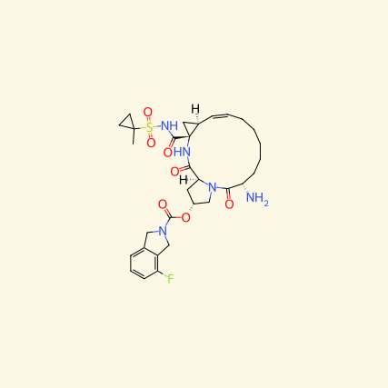 CC1(S(=O)(=O)NC(=O)[C@@]23C[C@H]2/C=C\CCCCC[C@H](N)C(=O)N2C[C@H](OC(=O)N4Cc5cccc(F)c5C4)C[C@H]2C(=O)N3)CC1